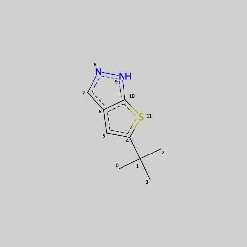 CC(C)(C)c1cc2cn[nH]c2s1